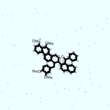 COc1ccc(CC2c3ccc4c(cc(OC)c5c(OC)cccc54)c3CCC2c2ccc3ccccc3c2C(C(=O)O)c2ccccc2)cc1OC